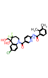 Cc1cccc(C(=O)Nc2ccc(C(=O)N3CCC(F)(F)C(O)(CO)c4cc(Cl)ccc43)cn2)c1C